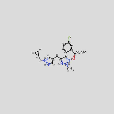 COC(=O)c1cc(F)ccc1-c1nn(C)nc1Cc1cnn(CC2CC2)c1